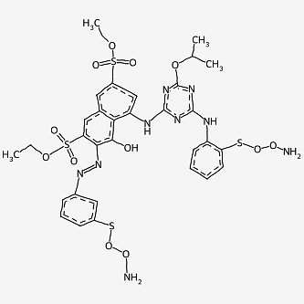 CCOS(=O)(=O)c1cc(Nc2nc(Nc3ccccc3SOON)nc(OC(C)C)n2)c2c(O)c(N=Nc3cccc(SOON)c3)c(S(=O)(=O)OCC)cc2c1